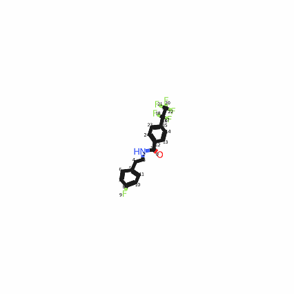 O=C(NCCc1ccc(F)cc1)c1ccc(C(F)(F)C(F)(F)F)cc1